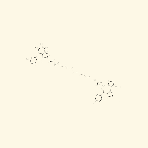 Cc1sc2c(c1C)C(c1ccc(Cl)cc1)=N[C@@H](CC(=O)NCCOCCOCCOCCNC(=O)/C=C/c1nc3c(=O)[nH]c(N)nc3n1Cc1ccc(F)cc1)c1nnc(C)n1-2